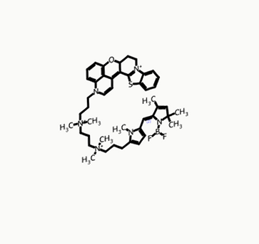 CC1=CC(C)(C)N(B(F)F)/C1=C\c1ccc(CCC[N+](C)(C)CCC[N+](C)(C)CCCN2C=CC3=C4c5sc6ccccc6[n+]5CCC4Oc4cccc2c43)n1C